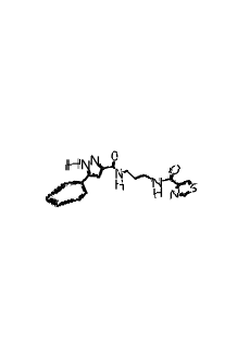 O=C(NCCCNC(=O)c1cc(-c2ccccc2)[nH]n1)c1cscn1